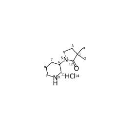 CC1(C)CCN(C2CCCNC2)C1=O.Cl